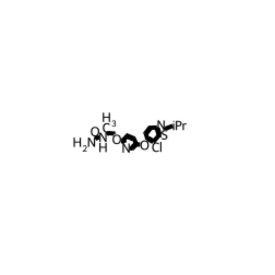 CC(C)c1nc2ccc(Oc3ccc(OC[C@H](C)NC(N)=O)nc3)c(Cl)c2s1